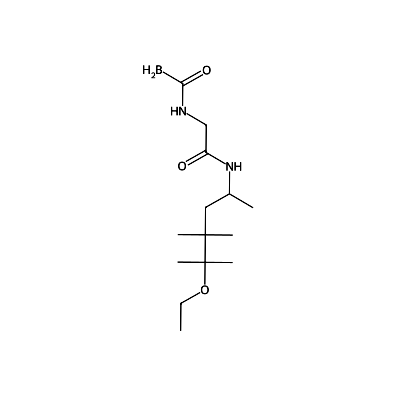 BC(=O)NCC(=O)NC(C)CC(C)(C)C(C)(C)OCC